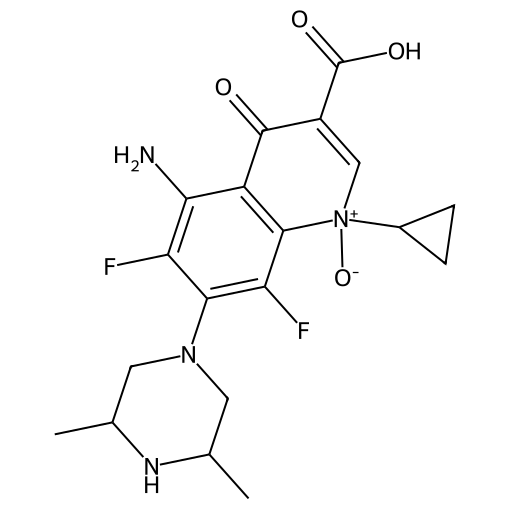 CC1CN(c2c(F)c(N)c3c(c2F)[N+]([O-])(C2CC2)C=C(C(=O)O)C3=O)CC(C)N1